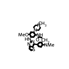 C=CC(=O)Nc1cc(Nc2nc(-c3ccc(NC)cc3)c3sccc3n2)c(OC)cc1N1CCN(C)CC1